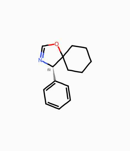 C1=N[C@@H](c2ccccc2)C2(CCCCC2)O1